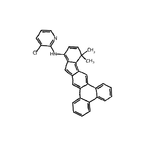 CC1(C)C=CC(Nc2ncccc2Cl)=C2C=c3cc4c5ccccc5c5ccccc5c4cc3=C21